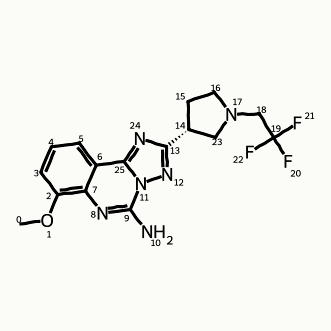 COc1cccc2c1nc(N)n1nc([C@@H]3CCN(CC(F)(F)F)C3)nc21